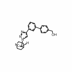 OCc1ccc(-c2cccc(-c3cn([C@H]4CN5CCC4CC5)nn3)c2)cc1